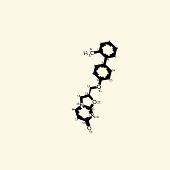 Cc1ccccc1-c1ccc(OC[C@@H]2Cn3ccc(=O)nc3O2)cc1